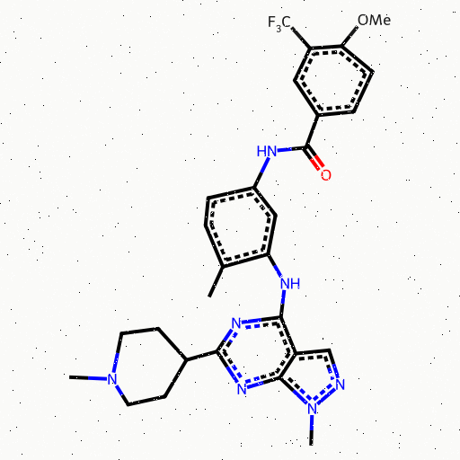 COc1ccc(C(=O)Nc2ccc(C)c(Nc3nc(C4CCN(C)CC4)nc4c3cnn4C)c2)cc1C(F)(F)F